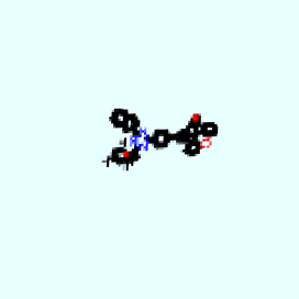 c1ccc2c(c1)Oc1ccccc1C21c2ccccc2-c2cc(-c3ccc(-c4nc(-c5ccc6ccccc6c5)nc(C56CC7C[C@@H]8C[C@@H](C[C@@H]7C85)C6)n4)cc3)ccc21